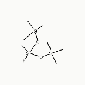 C[Si](C)(C)O[Si](C)(F)O[Si](C)(C)C